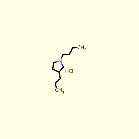 CCCCN1CCC(CCC)C1.Cl